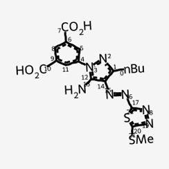 CCCCc1nn(-c2cc(C(=O)O)cc(C(=O)O)c2)c(N)c1/N=N/c1nnc(SC)s1